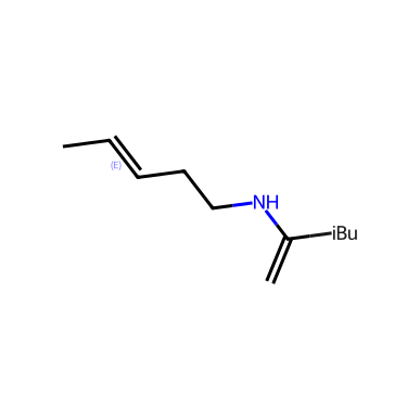 C=C(NCC/C=C/C)C(C)CC